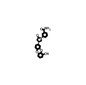 N#Cc1ccccc1Oc1cc([C@H]2CC(=O)N(c3cccc(C(N)=O)c3)C2)ccc1Cl